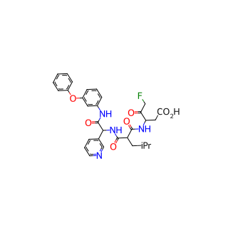 CC(C)CC(C(=O)NC(CC(=O)O)C(=O)CF)C(=O)NC(C(=O)Nc1cccc(Oc2ccccc2)c1)c1cccnc1